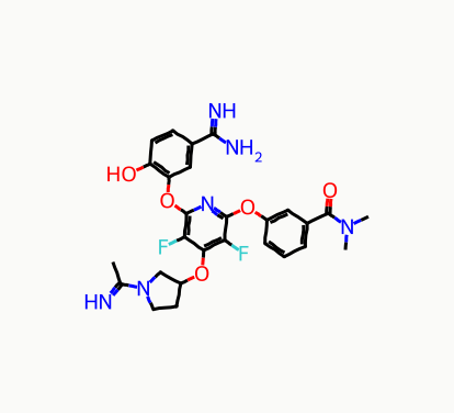 CC(=N)N1CCC(Oc2c(F)c(Oc3cccc(C(=O)N(C)C)c3)nc(Oc3cc(C(=N)N)ccc3O)c2F)C1